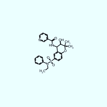 CCN(c1ccccc1)S(=O)(=O)c1ccc2c(c1)C(NC(=O)c1cccnc1)C(O)C(C)(C)O2